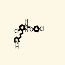 Clc1ccc(OCc2nc3c(CCCC4CCCNC4)c(Cl)ccc3[nH]2)cc1